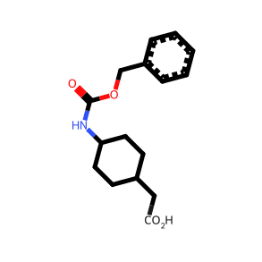 O=C(O)CC1CCC(NC(=O)OCc2ccccc2)CC1